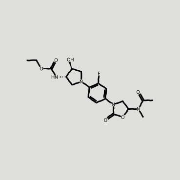 CCOC(=O)N[C@H]1CN(c2ccc(N3CC(N(C)C(C)=O)OC3=O)cc2F)C[C@@H]1O